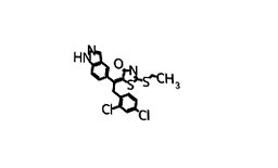 CCSC1=NC(=O)C(=C(Cc2ccc(Cl)cc2Cl)c2ccc3[nH]ncc3c2)S1